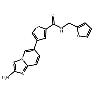 Nc1nc2ccc(-c3csc(C(=O)NCc4ccco4)c3)cn2n1